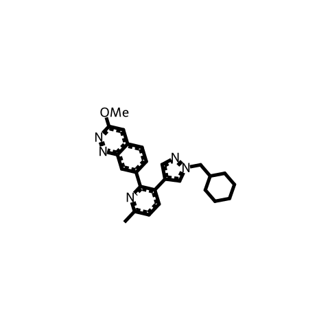 COc1cc2ccc(-c3nc(C)ccc3-c3cnn(CC4CCCCC4)c3)cc2nn1